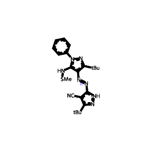 CSNc1c(/N=N/c2[nH]nc(C(C)(C)C)c2C#N)c(C(C)(C)C)nn1-c1ccccc1